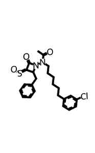 CC(=O)N(CCCCCCc1cccc(Cl)c1)N1C(=O)C(=S=O)C1Cc1ccccc1